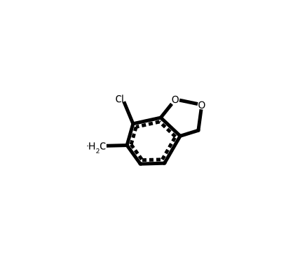 [CH2]c1ccc2c(c1Cl)OOC2